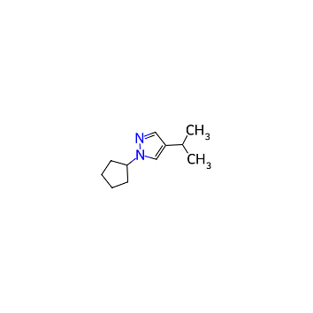 CC(C)c1cnn(C2CCCC2)c1